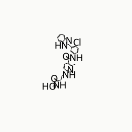 Cc1nc(NCCC(=O)NO)ccc1C(=O)Nc1ccc(Cl)c(-c2nc3ccccc3[nH]2)c1